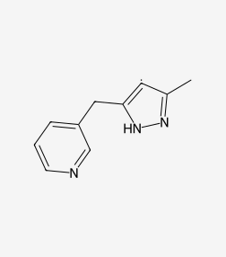 Cc1[c]c(Cc2cccnc2)[nH]n1